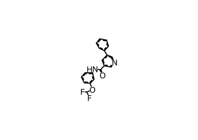 O=C(Nc1cccc(OC(F)F)c1)c1cncc(-c2ccccc2)c1